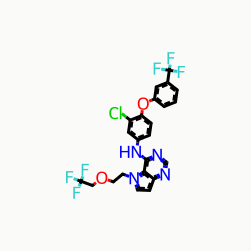 FC(F)(F)COCCn1ccc2ncnc(Nc3ccc(Oc4cccc(C(F)(F)F)c4)c(Cl)c3)c21